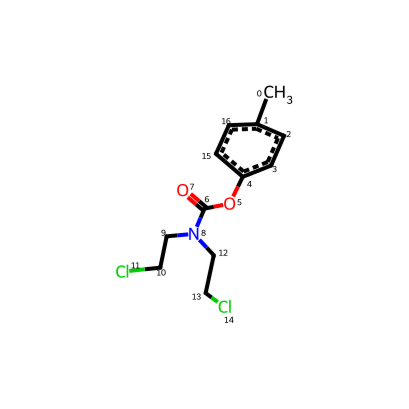 Cc1ccc(OC(=O)N(CCCl)CCCl)cc1